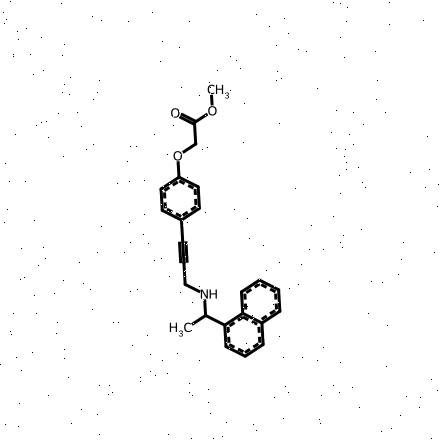 COC(=O)COc1ccc(C#CCNC(C)c2cccc3ccccc23)cc1